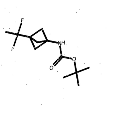 CC(C)(C)OC(=O)NC12CC(C(C)(F)F)(C1)C2